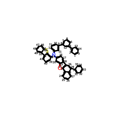 c1ccc(-c2cccc(-c3cccc(N(c4ccc5c(c4)oc4c6ccccc6c(-c6ccccc6)cc54)c4cccc5c4sc4ccccc45)c3)c2)cc1